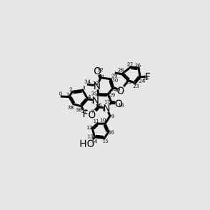 Cc1ccc(-n2c(=O)n(Cc3ccc(O)cc3)c(=O)c3c(Oc4cc(F)ccc4C)cc(=O)n(C)c32)c(F)c1